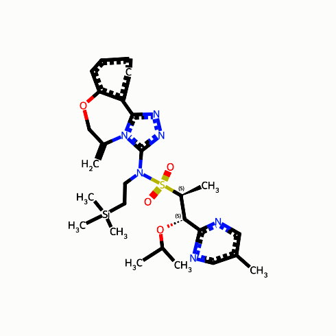 C=C1COc2ccccc2-c2nnc(N(CC[Si](C)(C)C)S(=O)(=O)[C@@H](C)[C@@H](OC(C)C)c3ncc(C)cn3)n21